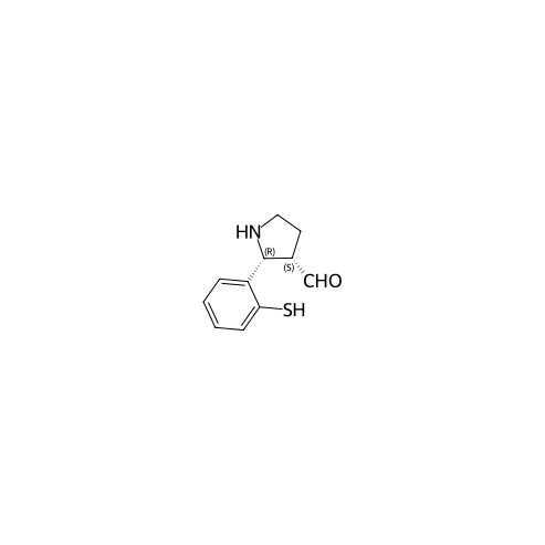 O=C[C@H]1CCN[C@H]1c1ccccc1S